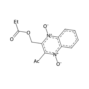 CCC(=O)OCc1c(C(C)=O)[n+]([O-])c2ccccc2[n+]1[O-]